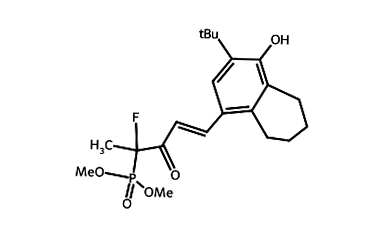 COP(=O)(OC)C(C)(F)C(=O)/C=C/c1cc(C(C)(C)C)c(O)c2c1CCCC2